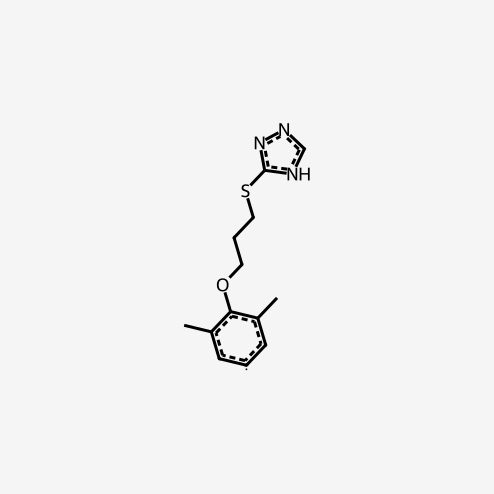 Cc1c[c]cc(C)c1OCCCSc1nnc[nH]1